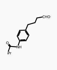 CC(C)C(=O)Nc1ccc(CCC[C]=O)cc1